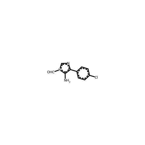 Nc1c(-c2ccc(Cl)cc2)ncn1C=O